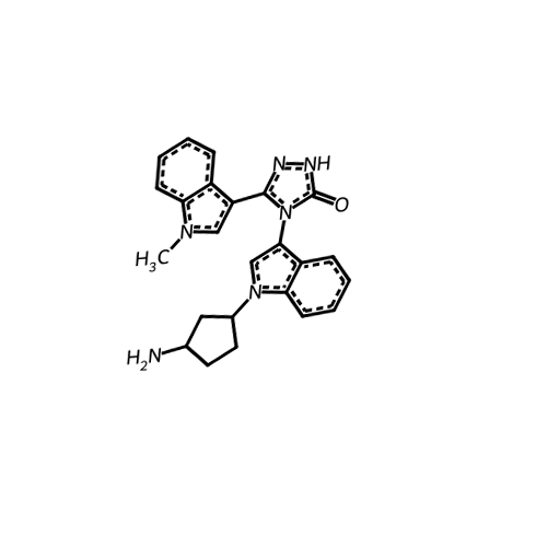 Cn1cc(-c2n[nH]c(=O)n2-c2cn(C3CCC(N)C3)c3ccccc23)c2ccccc21